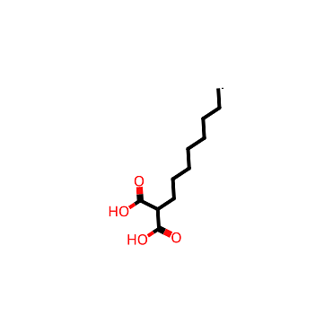 [CH2]CCCCCCCC(C(=O)O)C(=O)O